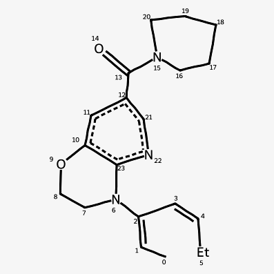 C/C=C(\C=C/CC)N1CCOc2cc(C(=O)N3CCCCC3)cnc21